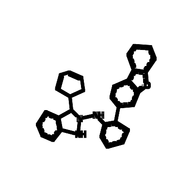 C1=CCC(C2c3ccccc3NN2Nc2ccccc2-c2ccc3c(c2)oc2ccccc23)C=C1